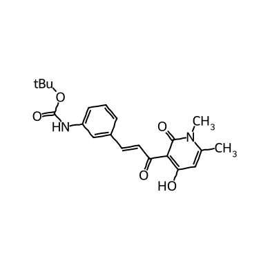 Cc1cc(O)c(C(=O)C=Cc2cccc(NC(=O)OC(C)(C)C)c2)c(=O)n1C